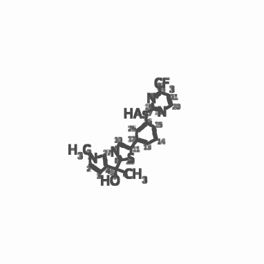 Cn1ccc(C(C)(O)c2ncc(-c3cccc([AsH]c4nccc(C(F)(F)F)n4)c3)s2)c1